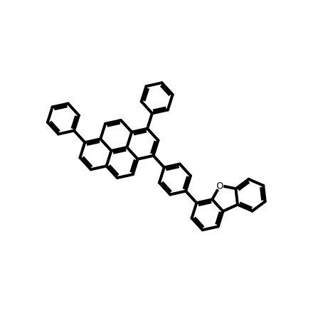 c1ccc(-c2ccc3ccc4c(-c5ccc(-c6cccc7c6oc6ccccc67)cc5)cc(-c5ccccc5)c5ccc2c3c45)cc1